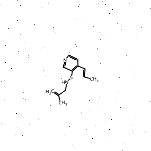 C=C(C)CNSc1cnccc1C=CC